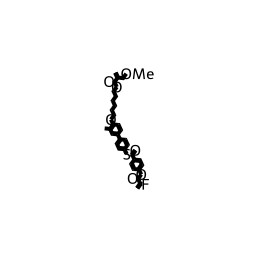 C=C(F)C(=O)Oc1ccc(C(=O)Sc2ccc(-c3ccc(OCCCCCCOC(=O)C(=C)COC)c(C)c3)cc2)cc1